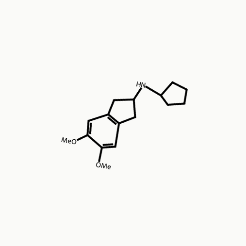 COc1cc2c(cc1OC)CC(NC1CCCC1)C2